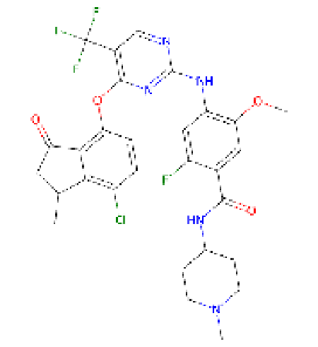 COc1cc(C(=O)NC2CCN(C)CC2)c(F)cc1Nc1ncc(C(F)(F)F)c(Oc2ccc(Cl)c3c2C(=O)CC3C)n1